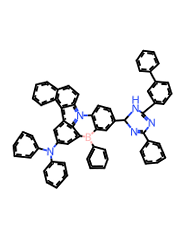 C1=C=C(B2c3cc(C4N=C(c5ccccc5)N=C(c5cccc(-c6ccccc6)c5)N4)ccc3-n3c4ccc5ccccc5c4c4cc(N(c5ccccc5)c5ccccc5)cc2c43)C=CC=1